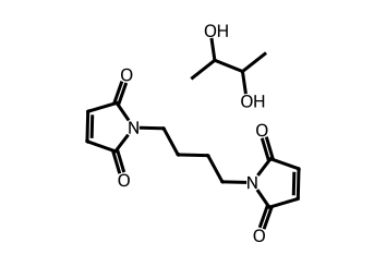 CC(O)C(C)O.O=C1C=CC(=O)N1CCCCN1C(=O)C=CC1=O